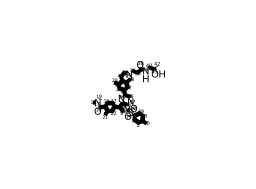 Cc1ccc(S(=O)(=O)n2cc(-c3ccc(C(=O)N(C)C)c(C)c3)c3nc(-c4cc(C)c5c(c4)CN(CCC(=O)NC[C@H](C)O)CC5)cnc32)cc1